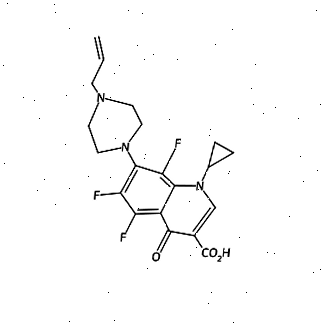 C=CCN1CCN(c2c(F)c(F)c3c(=O)c(C(=O)O)cn(C4CC4)c3c2F)CC1